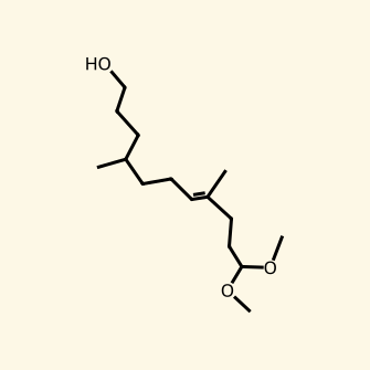 COC(CCC(C)=CCCC(C)CCCO)OC